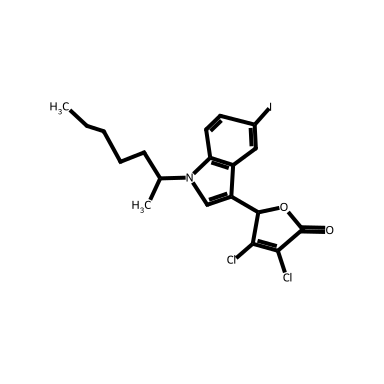 CCCCCC(C)n1cc(C2OC(=O)C(Cl)=C2Cl)c2cc(I)ccc21